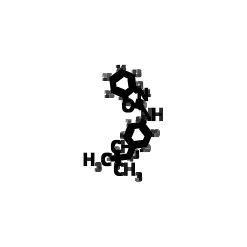 CC(C)(C)Cc1ccc(Nc2nc3ccccc3o2)cc1